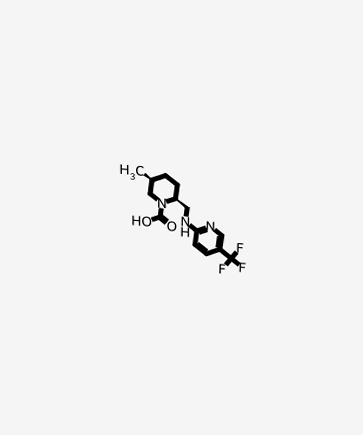 C[C@H]1CC[C@@H](CNc2ccc(C(F)(F)F)cn2)N(C(=O)O)C1